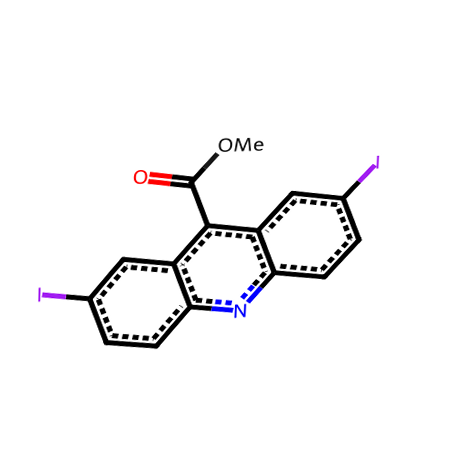 COC(=O)c1c2cc(I)ccc2nc2ccc(I)cc12